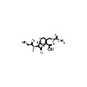 CC(=O)OCC1=C(C(=O)O)N2C(=O)[C@@H](NC(=O)CS)[C@H]2SC1